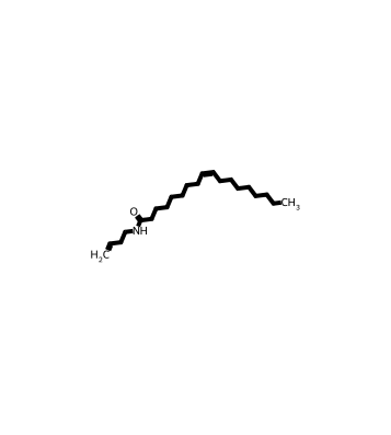 C=CCCNC(=O)CCCCCCC/C=C\CCCCCCCC